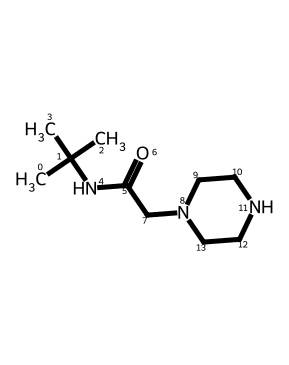 CC(C)(C)NC(=O)CN1CCNCC1